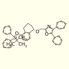 CC(C)(C)[Si](Oc1cccc2c1CCC[C@@H]2OCc1nc(-c2ccccc2)c(-c2ccccc2)o1)(c1ccccc1)c1ccccc1